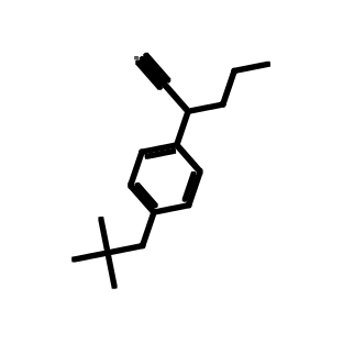 [C]#CC(CCC)c1ccc(CC(C)(C)C)cc1